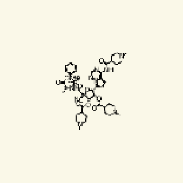 COC(=O)[C@H](C)N[P@](=O)(OC[C@@]1(C#N)O[C@@H](c2ccc3c(NC(=O)C4CCN(C)CC4)ncnn23)[C@H](OC(=O)C2CCN(C)CC2)[C@@H]1OC(=O)C1CCN(C)CC1)Oc1ccccc1